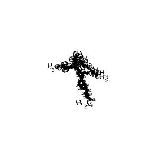 C=C(C)C(=O)OCCCc1cc(-c2ccc3c(c2)CC(CCCCCC)C3)ccc1OCC(COC(=O)C(=C)C)(COC(=O)C(=O)OCC)COC(=O)C(=O)OCC